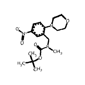 CN(Cc1cc([N+](=O)[O-])ccc1N1CCOCC1)C(=O)OC(C)(C)C